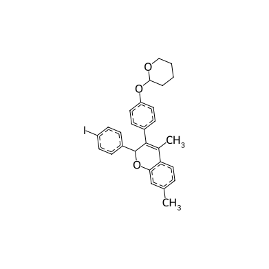 CC1=C(c2ccc(OC3CCCCO3)cc2)C(c2ccc(I)cc2)Oc2cc(C)ccc21